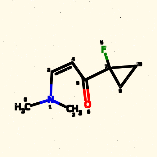 CN(C)/C=C\C(=O)C1(F)CC1